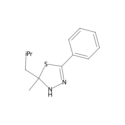 CC(C)CC1(C)NN=C(c2ccccc2)S1